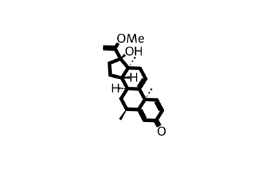 C=C(OC)[C@@]1(O)CC[C@H]2[C@@H]3C[C@H](C)C4=CC(=O)C=C[C@]4(C)C3=CC[C@@]21C